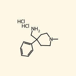 CN1CCC(CN)(c2ccccc2)CC1.Cl.Cl